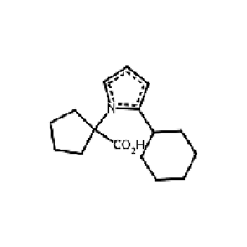 O=C(O)C1(n2cccc2C2CCCCC2)CCCC1